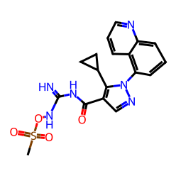 CS(=O)(=O)ONC(=N)NC(=O)c1cnn(-c2cccc3ncccc23)c1C1CC1